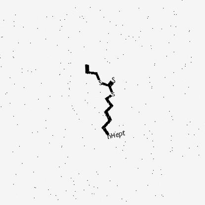 C=CCSC(=S)SCCCCCCCCCCCC